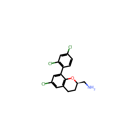 NC[C@H]1CCc2cc(Cl)cc(-c3ccc(Cl)cc3Cl)c2O1